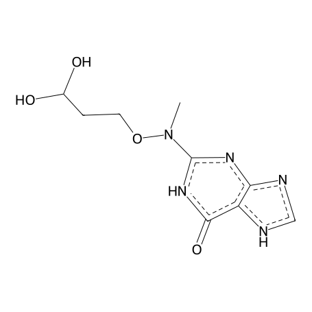 CN(OCCC(O)O)c1nc2nc[nH]c2c(=O)[nH]1